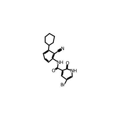 N#Cc1c(NC(=O)c2cc(Br)c[nH]c2=O)cccc1C1CCCCC1